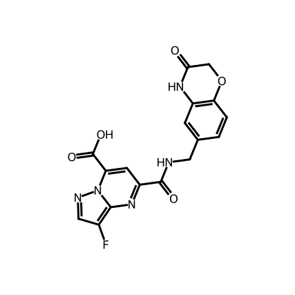 O=C1COc2ccc(CNC(=O)c3cc(C(=O)O)n4ncc(F)c4n3)cc2N1